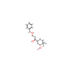 CO[C@@H]1CC(C(=O)CCOCc2ccccc2)CCC1(C)C